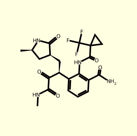 CNC(=O)C(=O)[C@@H](C[C@H]1C[C@@H](C)NC1=O)c1cccc(C(N)=O)c1NC(=O)C1(C(F)(F)F)CC1